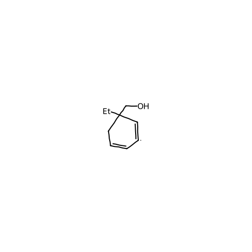 CCC1(CO)C=[C]C=CC1